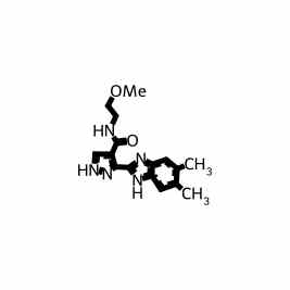 COCCNC(=O)c1c[nH]nc1-c1nc2cc(C)c(C)cc2[nH]1